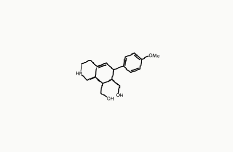 COc1ccc(C2C=C3CCNCC3C(CO)C2CO)cc1